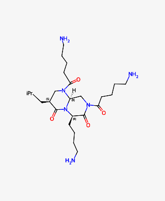 CC(C)C[C@H]1CN(C(=O)CCCCN)[C@H]2CN(C(=O)CCCCN)C(=O)[C@@H](CCCCN)N2C1=O